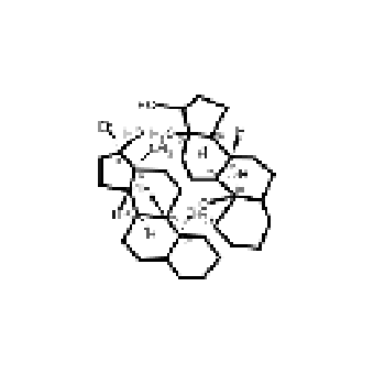 CC[C@@]1(O)CC[C@H]2[C@@H]3CCC4CCCC[C@]4(C)[C@H]3CC[C@@]21C.C[C@]12CCCCC1CC[C@@H]1[C@@H]2CC[C@]2(C)C(O)CC[C@@H]12